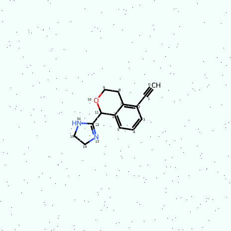 C#Cc1cccc2c1CCOC2C1=NCCN1